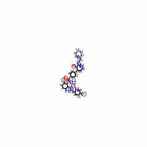 O=C(Nc1c(O)cccc1C(=O)Nc1ccc(Cl)cn1)c1ccc(-c2ccnn(CCN3CCCCC3)c2=O)cc1